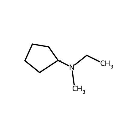 CCN(C)[C]1CCCC1